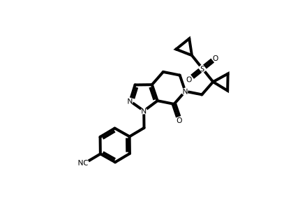 N#Cc1ccc(Cn2ncc3c2C(=O)N(CC2(S(=O)(=O)C4CC4)CC2)CC3)cc1